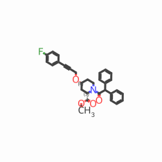 COC(=O)[C@@H]1C[C@H](OCC#Cc2ccc(F)cc2)CCN1C(=O)C(c1ccccc1)c1ccccc1